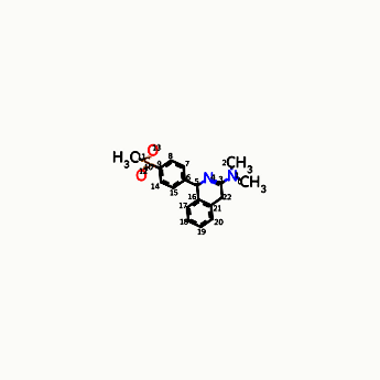 CN(C)C1=NC(c2ccc(S(C)(=O)=O)cc2)c2ccccc2C1